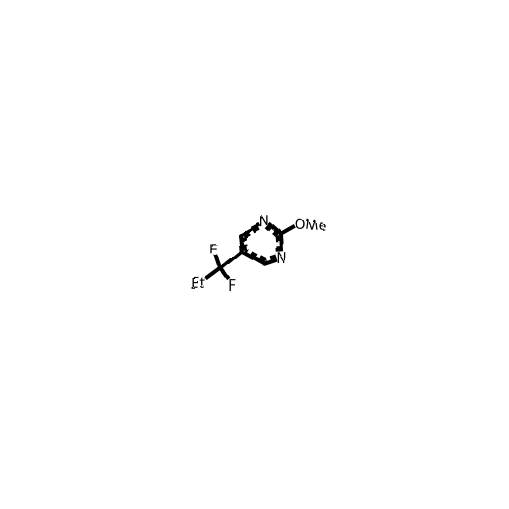 CCC(F)(F)c1cnc(OC)nc1